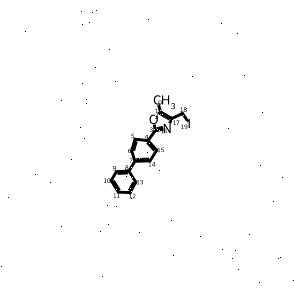 Cc1oc(-c2ccc(-c3ccccc3)cc2)nc1CI